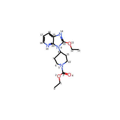 CCOC(=O)N1CCC(n2c(OCC)nc3cccnc32)CC1